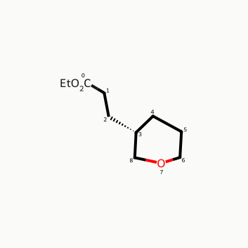 CCOC(=O)CC[C@@H]1CCCOC1